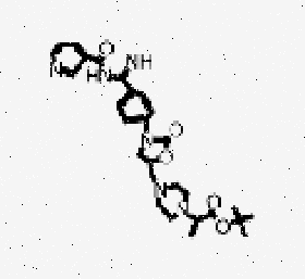 CC(C(=O)OC(C)(C)C)N1CCN(CC2CN(c3ccc(C(=N)NC(=O)c4cccnc4)cc3)C(=O)O2)CC1